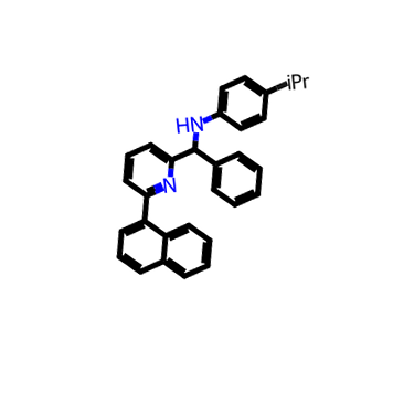 CC(C)c1ccc(NC(c2ccccc2)c2cccc(-c3cccc4ccccc34)n2)cc1